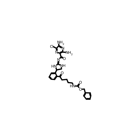 Nc1nc(N)c(C(=O)N=C2NCC(c3ccccc3C(=O)CCCCNC(=O)OCc3ccccc3)N2)nc1Cl